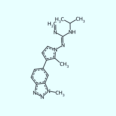 C=N/C(=N\n1ccc(-c2ccc3nnn(C)c3c2)c1C)NC(C)C